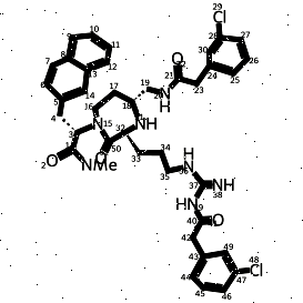 CNC(=O)[C@H](Cc1ccc2ccccc2c1)N1CC[C@H](CNC(=O)Cc2cccc(Cl)c2)N[C@@H](CCCNC(=N)NC(=O)Cc2cccc(Cl)c2)C1=O